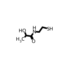 CC(O)C(=O)NCCS